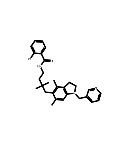 Cc1cc2c(c(C)c1CC(C)(C)CCNC(=O)c1ccccc1O)CCN2Cc1cccnc1